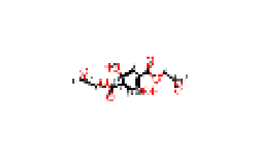 O=C(OCC1CO1)c1cc(O)c(C(=O)OCC2CO2)cc1O